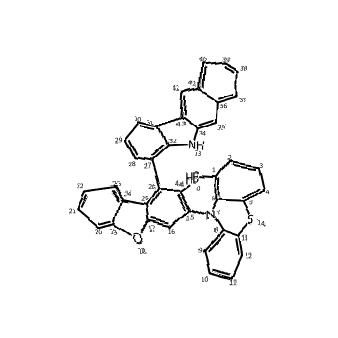 B1c2cccc3c2N(c2ccccc2S3)c2cc3oc4ccccc4c3c(-c3cccc4c3[nH]c3cc5ccccc5cc34)c21